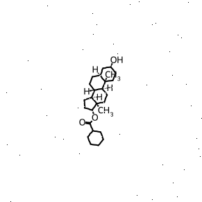 C[C@]12CC[C@H](O)C[C@@H]1CC[C@@H]1[C@@H]2CC[C@]2(C)[C@@H](OC(=O)C3CCCCC3)CC[C@@H]12